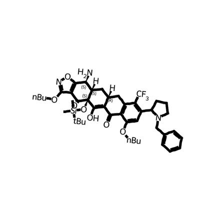 CCCCOc1cc(C2CCCN2Cc2ccccc2)c(C(F)(F)F)c2c1C(=O)C1=C(O)[C@]3(O[Si](C)(C)C(C)(C)C)C(=O)c4c(OCCCC)noc4[C@@H](N)[C@@H]3C[C@@H]1C2